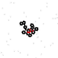 c1cc(-c2ccc(N(c3ccc(-c4cccc5ccccc45)cc3)c3ccccc3-c3ccc4ccccc4c3)cc2)cc(-c2ccccc2-n2c3ccccc3c3ccccc32)c1